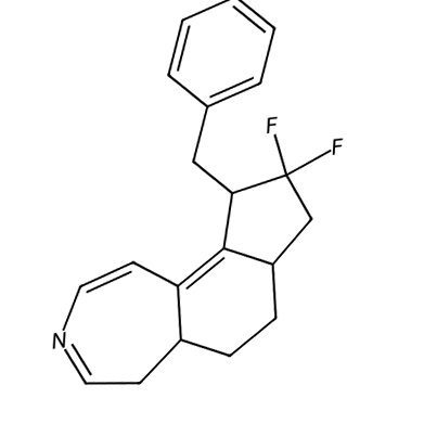 FC1(F)CC2CCC3CC=NC=CC3=C2C1Cc1ccccc1